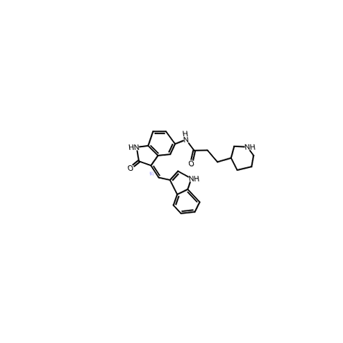 O=C(CCC1CCCNC1)Nc1ccc2c(c1)/C(=C\c1c[nH]c3ccccc13)C(=O)N2